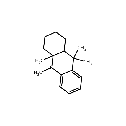 CN1c2ccccc2C(C)(C)C2CCCCC21C